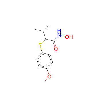 COc1ccc(SC(C(=O)NO)C(C)C)cc1